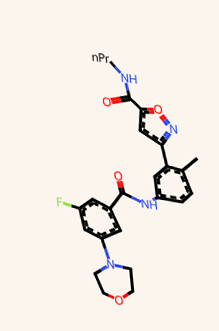 CCCNC(=O)c1cc(-c2cc(NC(=O)c3cc(F)cc(N4CCOCC4)c3)ccc2C)no1